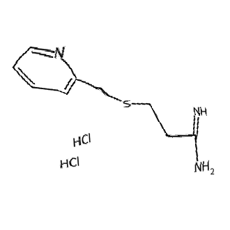 Cl.Cl.N=C(N)CCSCc1ccccn1